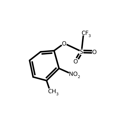 Cc1cccc(OS(=O)(=O)C(F)(F)F)c1[N+](=O)[O-]